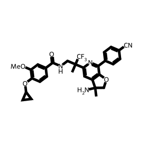 COc1cc(C(=O)NCC(C)(c2cc3c(c(-c4ccc(C#N)cc4)n2)OCC3(C)N)C(F)(F)F)ccc1OC1CC1